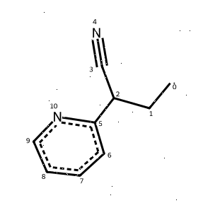 [CH2]CC(C#N)c1ccccn1